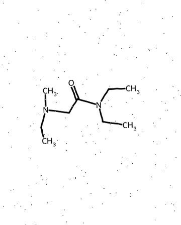 CCN(C)CC(=O)N(CC)CC